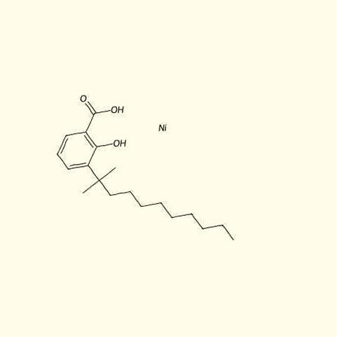 CCCCCCCCCC(C)(C)c1cccc(C(=O)O)c1O.[Ni]